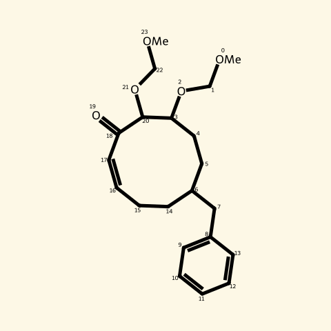 COCOC1CCC(Cc2ccccc2)CCC=CC(=O)C1OCOC